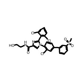 CS(=O)(=O)c1cccc(-c2ccc(-n3cc(C(=O)NCCO)nc3-c3c(Cl)cccc3Cl)c(Cl)c2)c1